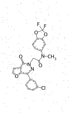 CN(C(=O)Cn1nc(-c2cccc(Cl)c2)c2occc2c1=O)c1ccc2c(c1)OC(F)(F)O2